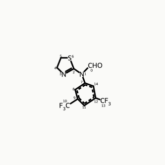 O=CN(C1=NCCS1)c1cc(C(F)(F)F)cc(C(F)(F)F)c1